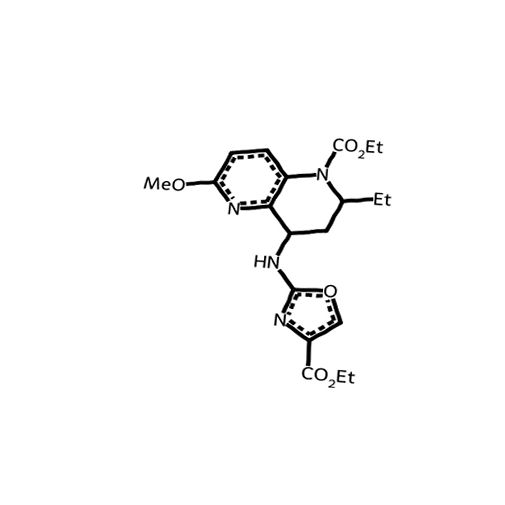 CCOC(=O)c1coc(NC2CC(CC)N(C(=O)OCC)c3ccc(OC)nc32)n1